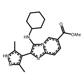 COC(=O)c1ccc2nc(-c3c(C)n[nH]c3C)c(NC3CCCCC3)n2c1